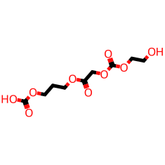 O=C(O)OCCCOC(=O)COC(=O)OCCO